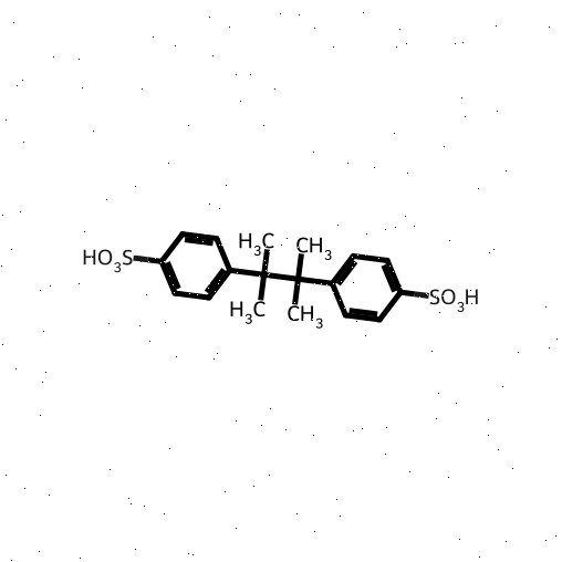 CC(C)(c1ccc(S(=O)(=O)O)cc1)C(C)(C)c1ccc(S(=O)(=O)O)cc1